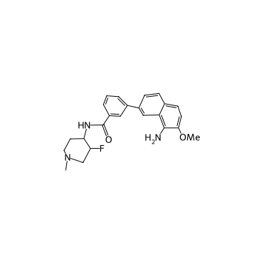 COc1ccc2ccc(-c3cccc(C(=O)NC4CCN(C)CC4F)c3)cc2c1N